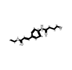 CCOC(=O)/C=C/c1ccc(NC(=O)CCCBr)cc1